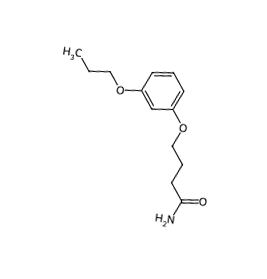 CCCOc1cccc(OCCCC(N)=O)c1